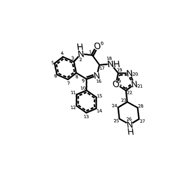 O=C1Nc2ccccc2C(c2ccccc2)=NC1Nc1nnc(C2CCNCC2)o1